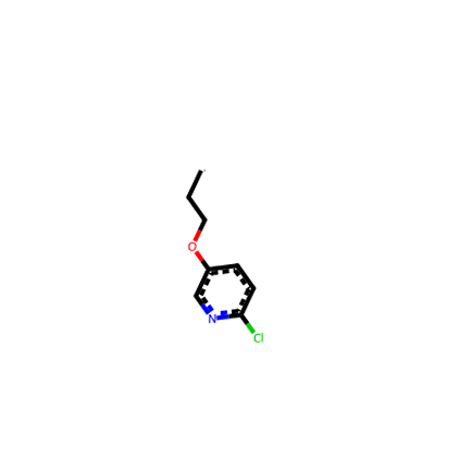 [CH2]CCOc1ccc(Cl)nc1